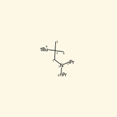 CCCN(CC(C)(C)C(C)(C)C)C(C)C